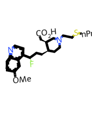 CCCSCCN1CC[C@@H](CC[C@H](F)c2ccnc3ccc(OC)cc23)[C@@H](CC(=O)O)C1